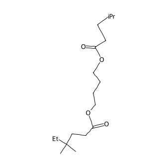 CCC(C)(C)CCC(=O)OCCCCOC(=O)CCC(C)C